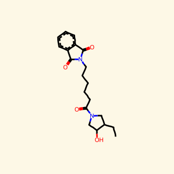 CCC1CN(C(=O)CCCCCN2C(=O)c3ccccc3C2=O)CC1O